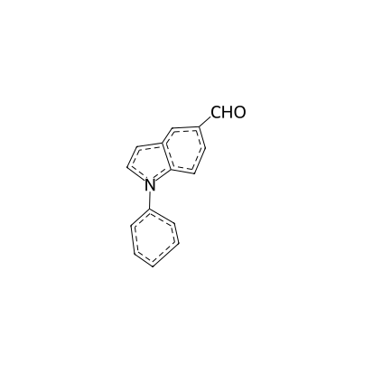 O=Cc1ccc2c(ccn2-c2ccccc2)c1